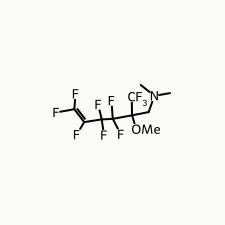 COC(CN(C)C)(C(F)(F)F)C(F)(F)C(F)(F)C(F)=C(F)F